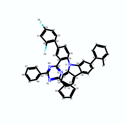 Cc1ccccc1-c1ccc2c3ccccc3n(-c3ccc(-c4ccc(F)cc4F)cc3-c3nc(-c4ccccc4)nc(-c4ccccc4)n3)c2c1